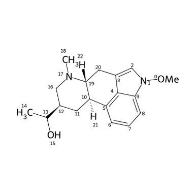 COn1cc2c3c(cccc31)[C@H]1C[C@@H](C(C)O)CN(C)[C@@H]1C2